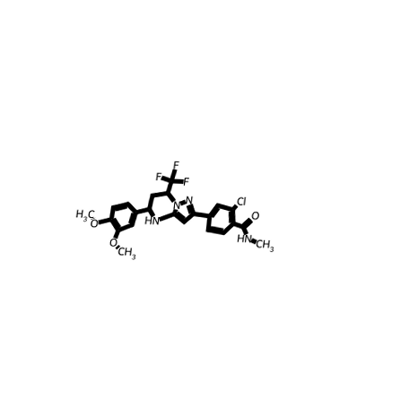 CNC(=O)c1ccc(-c2cc3n(n2)C(C(F)(F)F)CC(c2ccc(OC)c(OC)c2)N3)cc1Cl